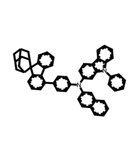 c1ccc(-n2c3ccccc3c3ccc(N(c4ccc(-c5cccc6c5-c5ccccc5C65C6CC7CC(C6)CC5C7)cc4)c4ccc5ccccc5c4)cc32)cc1